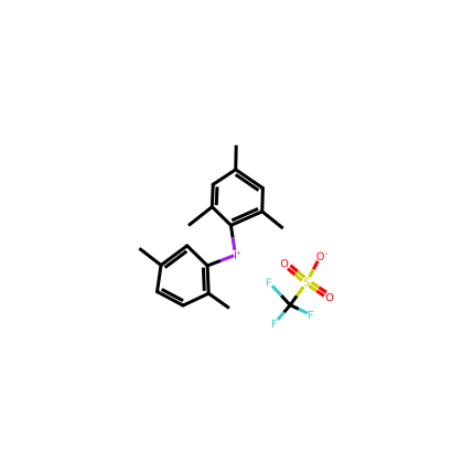 Cc1cc(C)c([I+]c2cc(C)ccc2C)c(C)c1.O=S(=O)([O-])C(F)(F)F